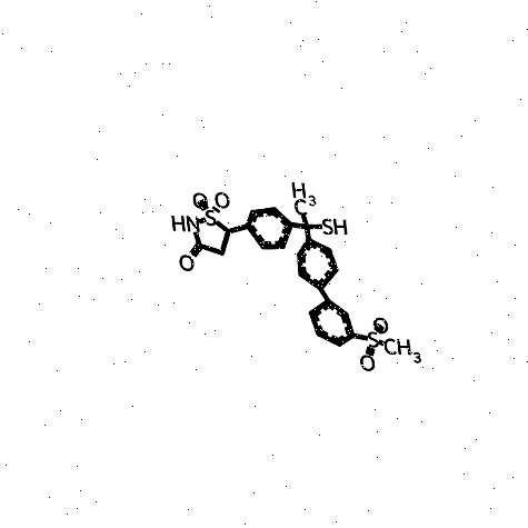 CC(S)(c1ccc(-c2cccc(S(C)(=O)=O)c2)cc1)c1ccc(C2CC(=O)NS2(=O)=O)cc1